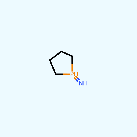 N=[PH]1CCCC1